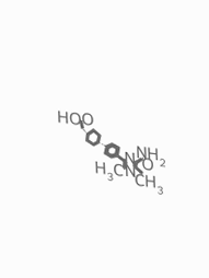 CCc1nc(C)c(-c2ccc([C@H]3CC[C@@H](CC(=O)O)CC3)cc2)nc1C(N)=O